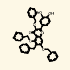 O=c1c(OCc2ccccc2)c(-c2ccc(O)c(O)c2)oc2cc(OCc3ccccc3)c(Cc3ccccc3)c(OCc3ccccc3)c12